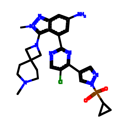 CN1CCC2(CC1)CN(c1c3c(-c4ncc(Cl)c(-c5cnn(S(=O)(=O)C6CC6)c5)n4)cc(N)cc3nn1C)C2